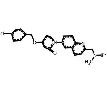 CC(C)N(C)Cc1ccc2cc(-n3ccc(OCc4ccc(Cl)cc4)cc3=O)ccc2n1